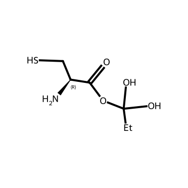 CCC(O)(O)OC(=O)[C@@H](N)CS